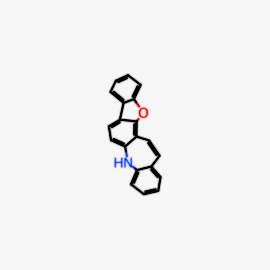 C1=Cc2c(ccc3c2oc2ccccc23)Nc2ccccc21